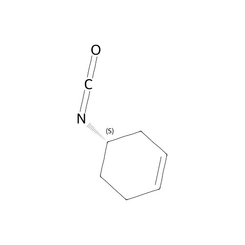 O=C=N[C@@H]1CC=CCC1